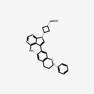 Nc1ncnc2c1c(-c1ccc3c(c1)O[C@H](c1ccccc1)CC3)cn2[C@H]1C[C@@H](CO)C1